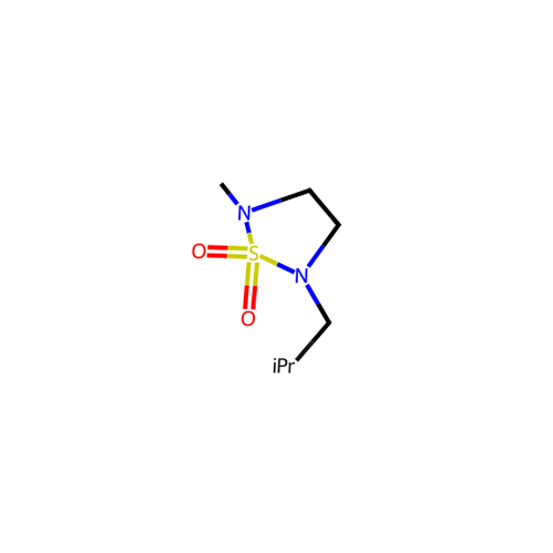 CC(C)CN1CCN(C)S1(=O)=O